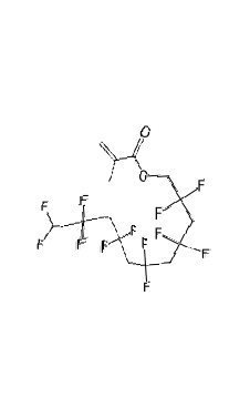 C=C(C)C(=O)OCC(F)(F)CC(F)(F)CC(F)(F)CC(F)(F)CC(F)(F)C(F)F